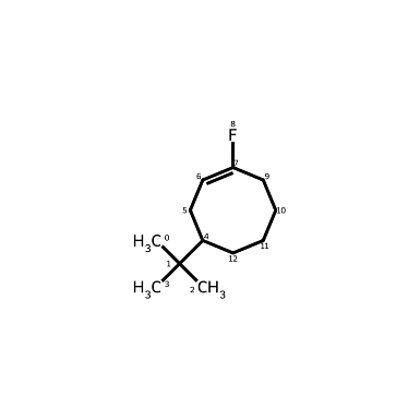 CC(C)(C)C1CC=C(F)CCCC1